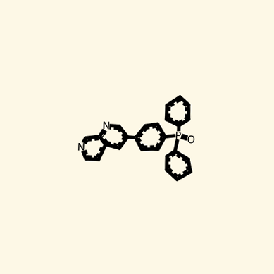 O=P(c1ccccc1)(c1ccccc1)c1ccc(-c2cnc3cnccc3c2)cc1